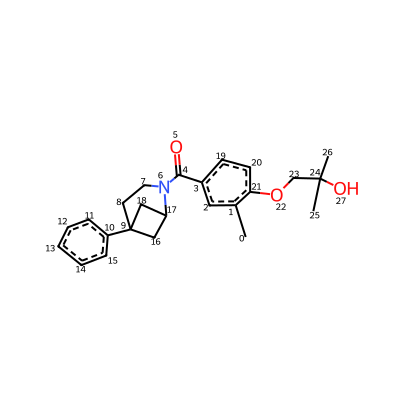 Cc1cc(C(=O)N2CCC3(c4ccccc4)CC2C3)ccc1OCC(C)(C)O